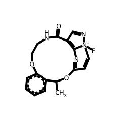 CC1OC2=NC3=C(C=N[N+]3(F)C=C2)C(=O)NCCOc2ccccc21